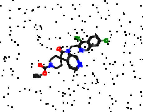 CC(C)(C)OC(=O)N1CCC2(CC1)C(=O)N(Cc1ncc3cc(Cl)ccc3c1Br)c1cnccc12